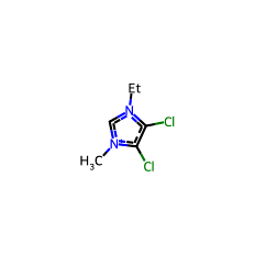 CCn1c[n+](C)c(Cl)c1Cl